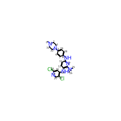 CN1CCN(c2ccc(Nc3ccc(Nc4cc(Cl)ncc4Cl)c(N(C)C)n3)cc2)CC1